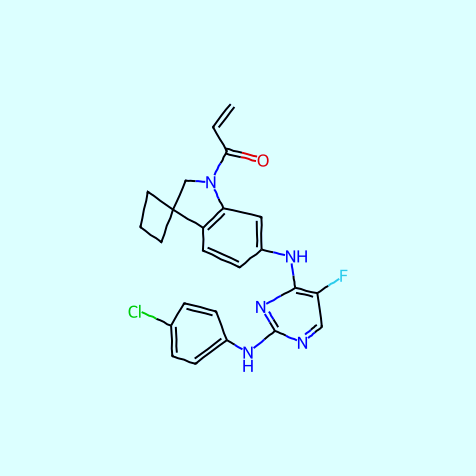 C=CC(=O)N1CC2(CCC2)c2ccc(Nc3nc(Nc4ccc(Cl)cc4)ncc3F)cc21